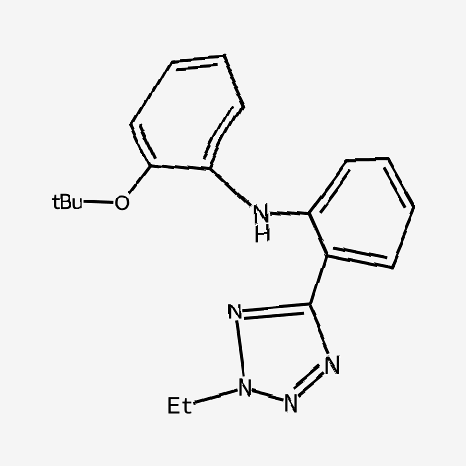 CCn1nnc(-c2ccccc2Nc2ccccc2OC(C)(C)C)n1